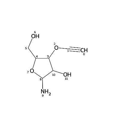 C#COC1C(CO)OC(N)C1O